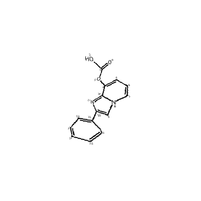 O=C(O)Oc1cccn2cc(-c3ccccc3)nc12